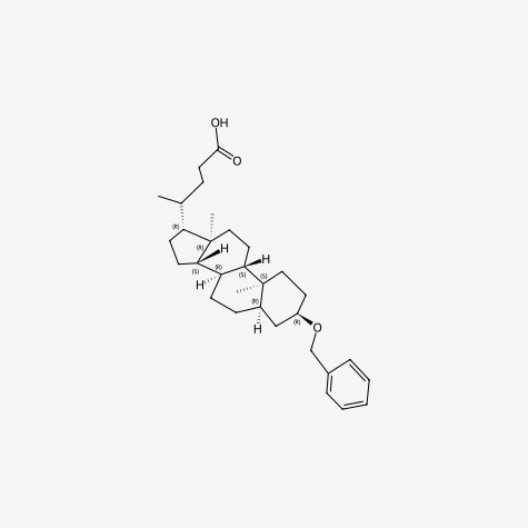 CC(CCC(=O)O)[C@H]1CC[C@H]2[C@@H]3CC[C@@H]4C[C@H](OCc5ccccc5)CC[C@]4(C)[C@H]3CC[C@]12C